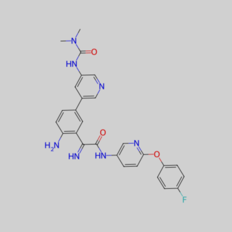 CN(C)C(=O)Nc1cncc(-c2ccc(N)c(C(=N)C(=O)Nc3ccc(Oc4ccc(F)cc4)nc3)c2)c1